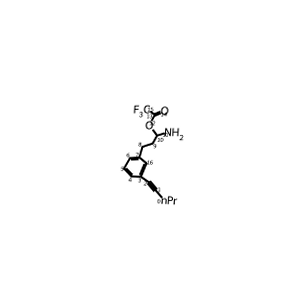 CCCC#Cc1cccc(CCC(N)OC(=O)C(F)(F)F)c1